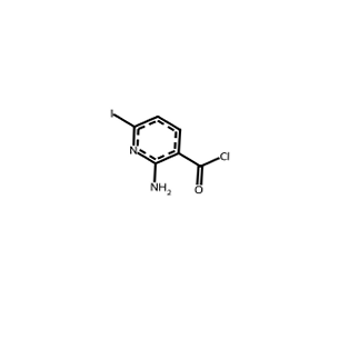 Nc1nc(I)ccc1C(=O)Cl